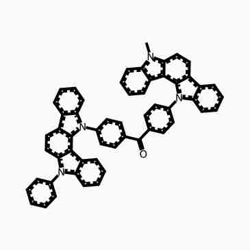 Cn1c2ccccc2c2c1ccc1c3ccccc3n(-c3ccc(C(=O)c4ccc(-n5c6ccccc6c6ccc7c(c8ccccc8n7-c7ccccc7)c65)cc4)cc3)c12